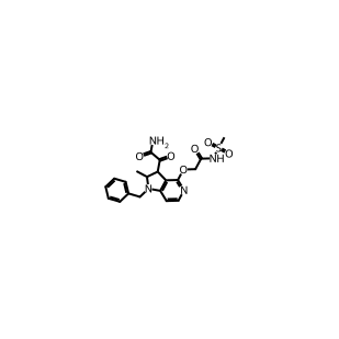 CC1C(C(=O)C(N)=O)c2c(ccnc2OCC(=O)NS(C)(=O)=O)N1Cc1ccccc1